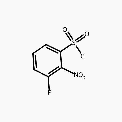 O=[N+]([O-])c1c(F)cccc1S(=O)(=O)Cl